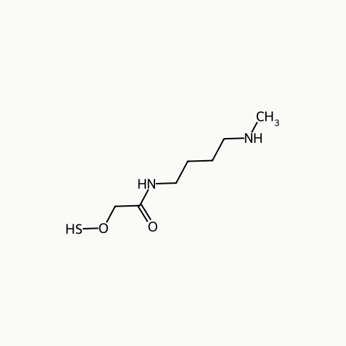 CNCCCCNC(=O)COS